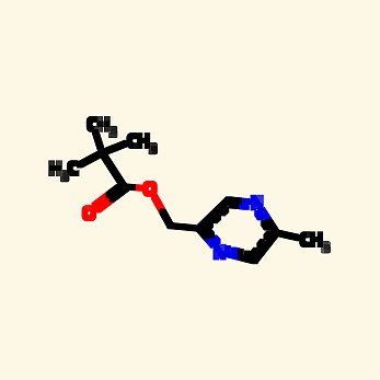 Cc1cnc(COC(=O)C(C)(C)C)cn1